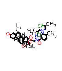 CC(=O)[C@@]1(OC(=O)CNC(=O)c2ccc(C)c(N(CC(C)Cl)CC(C)Cl)c2)CC[C@H]2[C@@H]3CC(C)C4=CC(=O)CC[C@]4(C)[C@H]3CC[C@@]21C